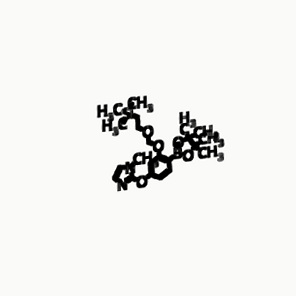 Cn1ccnc1Oc1ccc(B2OC(C)(C)C(C)(C)O2)c(OCOCC[Si](C)(C)C)c1